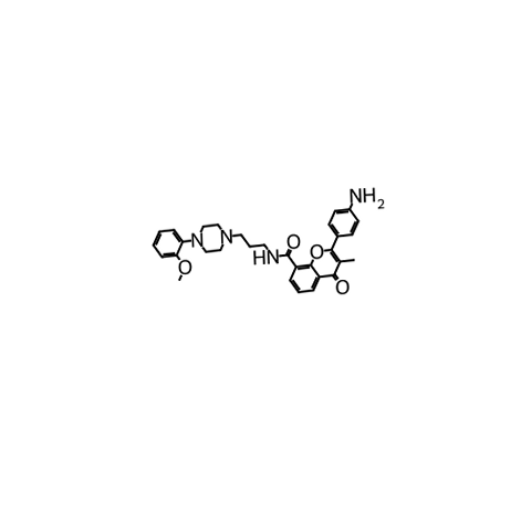 COc1ccccc1N1CCN(CCCNC(=O)c2cccc3c(=O)c(C)c(-c4ccc(N)cc4)oc23)CC1